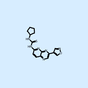 S=C(Nc1ccc2ncc(-c3cnoc3)nc2n1)NC1CCCC1